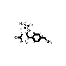 CS(=O)(=O)O[C@@H](CC(N)=O)Cc1ccc(CN)cc1